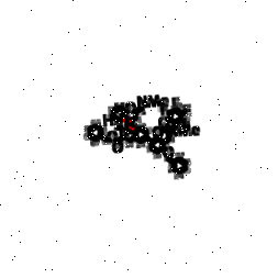 CNC[C@H](O)C[C@H](N)C(=O)N(C)[C@@H](Cc1cc(-c2ccc(OCc3ccccc3)c(C[C@H](NC)C(=O)Oc3c(F)c(F)c(F)c(F)c3F)c2)ccc1OCc1ccccc1)C(=O)OCc1ccccc1